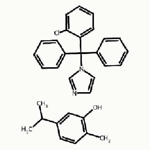 Cc1ccc(C(C)C)cc1O.Clc1ccccc1C(c1ccccc1)(c1ccccc1)n1ccnc1